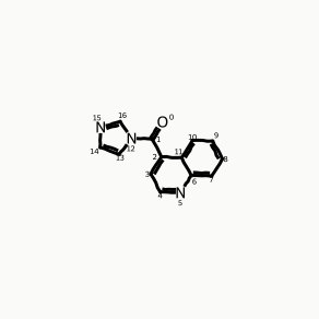 O=C(c1ccnc2ccccc12)n1ccnc1